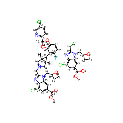 COC(=O)c1cc(Cl)c2nc(CCl)n(C[C@@H]3CCO3)c2c1.COC(=O)c1cc(Cl)c2nc(CN3C[C@@H]4C(c5c(F)ccc6c5OC(C)(c5ccc(Cl)cn5)O6)[C@@H]4C3)n(C[C@@H]3CCO3)c2c1